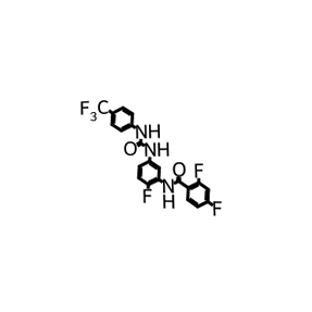 O=C(Nc1ccc(C(F)(F)F)cc1)Nc1ccc(F)c(NC(=O)c2ccc(F)cc2F)c1